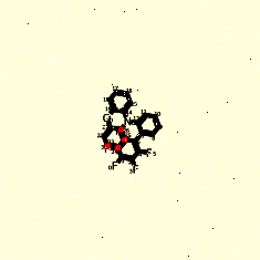 Fc1c(F)c(F)c(-c2ccccc2N2c3ccccc3Oc3ccccc32)c(F)c1F